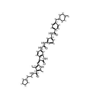 Cc1[nH]c(/C=C2\C(=O)Nc3cc(NC(=O)Nc4cccc(NC(=O)c5ccc(CN6CCN(C)CC6)cc5)c4)ccc32)c(C)c1C(=O)NCCN1CCCC1